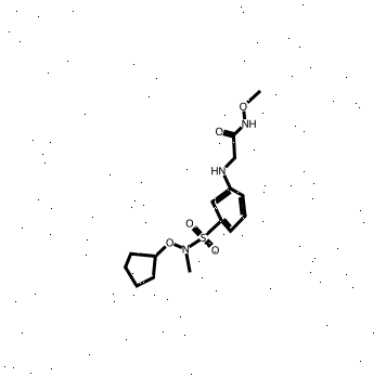 CONC(=O)CNc1cccc(S(=O)(=O)N(C)OC2CCCC2)c1